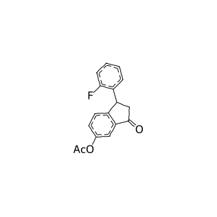 CC(=O)Oc1ccc2c(c1)C(=O)CC2c1ccccc1F